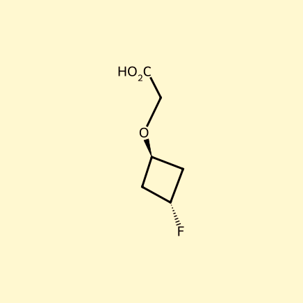 O=C(O)CO[C@H]1C[C@H](F)C1